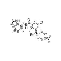 CCN(c1cc(Cl)cc(C(=O)NCc2c(C)cc(C)c3cn[nH]c23)c1C)[C@H]1CC[C@H](N(C)C)CC1